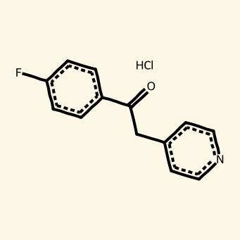 Cl.O=C(Cc1ccncc1)c1ccc(F)cc1